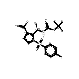 Cc1ccc(S(=O)(=O)n2ccc(C(=O)O)c2[C@@H](C)NC(=O)OC(C)(C)C)cc1